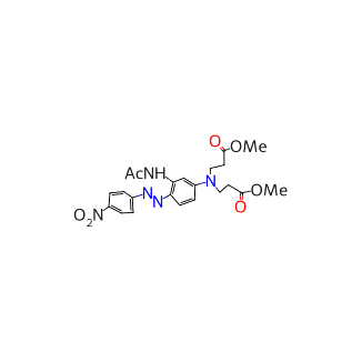 COC(=O)CCN(CCC(=O)OC)c1ccc(N=Nc2ccc([N+](=O)[O-])cc2)c(NC(C)=O)c1